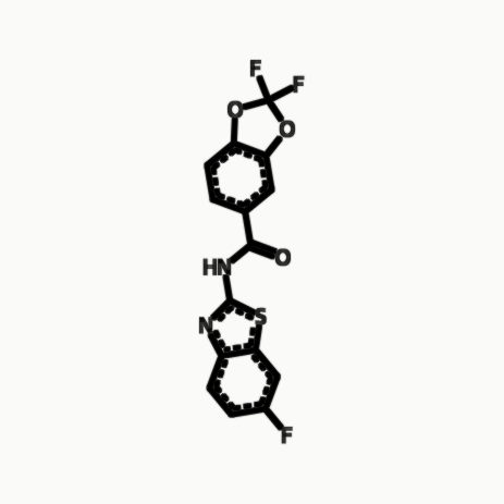 O=C(Nc1nc2ccc(F)cc2s1)c1ccc2c(c1)OC(F)(F)O2